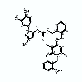 CSc1ccccc1Cn1c(C)cc(OCc2ccccc2CNC(=O)Nc2cc(C(C)(C)C)nn2-c2ccc(O)c(Cl)c2)c(C)c1=O